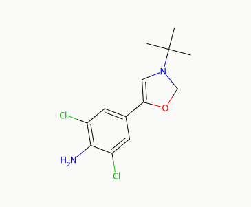 CC(C)(C)N1C=C(c2cc(Cl)c(N)c(Cl)c2)OC1